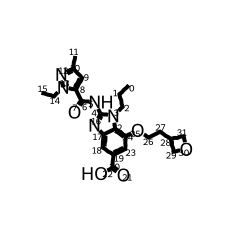 CCCn1c(NC(=O)c2cc(C)nn2CC)nc2cc(C(=O)O)cc(OCCC3COC3)c21